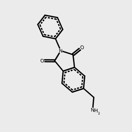 NCc1ccc2c(c1)C(=O)N(c1ccccc1)C2=O